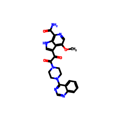 COc1cnc(C(N)=O)c2[nH]cc(C(=O)C(=O)N3CCN(c4ncnc5ccccc45)CC3)c12